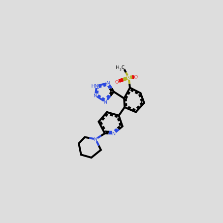 CS(=O)(=O)c1cccc(-c2ccc(N3CCCCC3)nc2)c1-c1nn[nH]n1